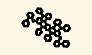 c1ccc(-c2ccccc2Oc2cc3c4c(c2)N(c2ccccc2)c2cc5c(cc2B4c2ccccc2N3c2ccccc2)B2c3ccccc3N(c3ccccc3)c3cc(Oc4ccccc4-c4ccccc4)cc(c32)N5c2ccccc2)cc1